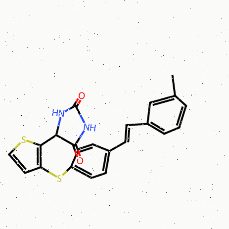 Cc1cccc(/C=C/c2ccc(Sc3ccsc3C3NC(=O)NC3=O)cc2)c1